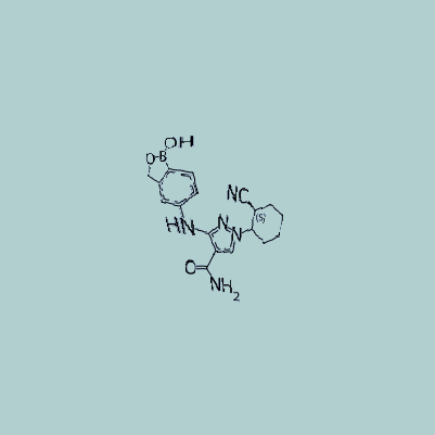 N#C[C@H]1CCCCC1n1cc(C(N)=O)c(Nc2ccc3c(c2)COB3O)n1